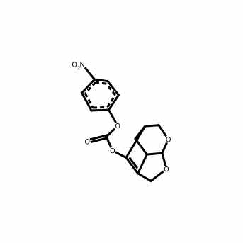 O=C(OC1=C2COC3OCC1CC23)Oc1ccc([N+](=O)[O-])cc1